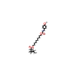 CCC(C)(C)CC(C)(C(=O)OCCCCCCCCCCOC(=O)/C=C/c1ccc(OC)cc1)C(C)(C)C